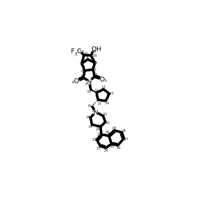 O=C1C2C3CC(C2C(=O)N1C[C@H]1CCC[C@@H]1CN1CCC(c2cccc4ccccc24)CC1)C(C(F)(F)F)C3O